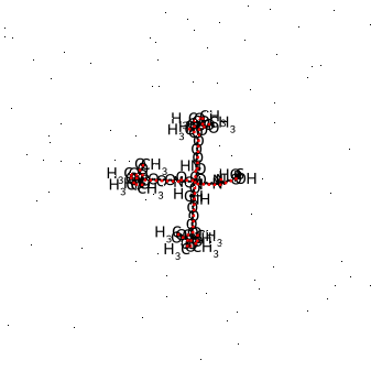 CC(=O)NC1C(OCCOCCOCCOCCNC(=O)CCOCC(COCCC(=O)NCCOCCOCCOCCOC2OC(COC(C)=O)C(OC(C)=O)C(OC(C)=O)C2NC(C)=O)(COCCC(=O)NCCOCCOCCOCCOC2OC(COC(C)=O)C(OC(C)=O)C(OC(C)=O)C2NC(C)=O)NC(=O)CCCCCn2cc(CCCCOP(O)(O)=S)nn2)OC(COC(C)=O)C(OC(C)=O)C1OC(C)=O